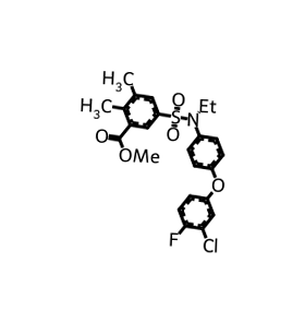 CCN(c1ccc(Oc2ccc(F)c(Cl)c2)cc1)S(=O)(=O)c1cc(C)c(C)c(C(=O)OC)c1